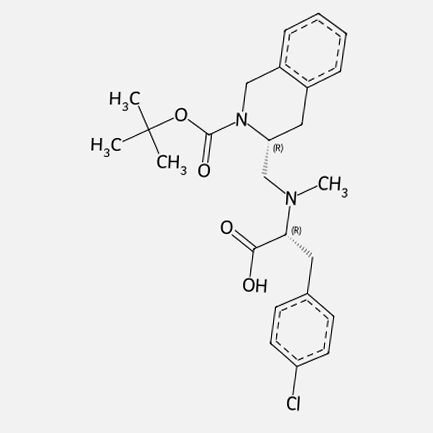 CN(C[C@H]1Cc2ccccc2CN1C(=O)OC(C)(C)C)[C@H](Cc1ccc(Cl)cc1)C(=O)O